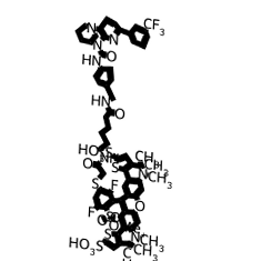 COS(=O)(=O)c1c(F)cc(SCC(=O)NCCCCCC(=O)NCc2ccc(NC(=O)N3c4nc(-c5cccc(C(F)(F)F)c5)ccc4N4CCCC3C4)cc2)c(F)c1C1=c2cc3c(cc2Oc2cc4c(cc21)-c1sc(S(=O)(=O)O)cc1C(C)(C)N4C)=[N+](C)C(C)(C)c1cc(S(=O)(=O)O)sc1-3